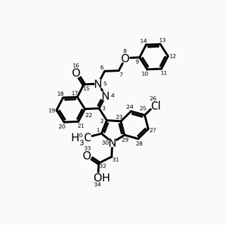 Cc1c(-c2nn(CCOc3ccccc3)c(=O)c3ccccc23)c2cc(Cl)ccc2n1CC(=O)O